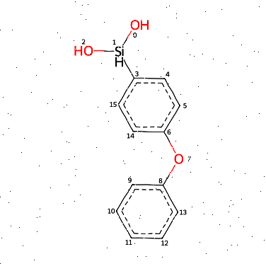 O[SiH](O)c1ccc(Oc2ccccc2)cc1